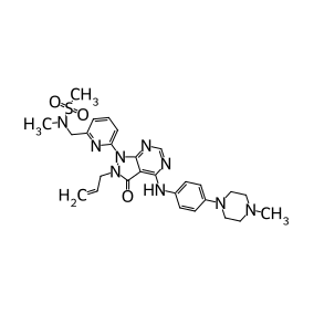 C=CCn1c(=O)c2c(Nc3ccc(N4CCN(C)CC4)cc3)ncnc2n1-c1cccc(CN(C)S(C)(=O)=O)n1